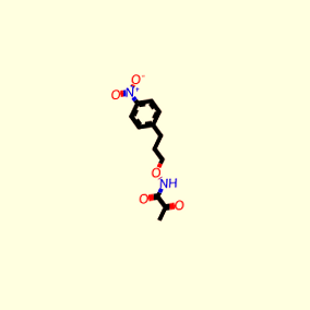 CC(=O)C(=O)NOCCCc1ccc([N+](=O)[O-])cc1